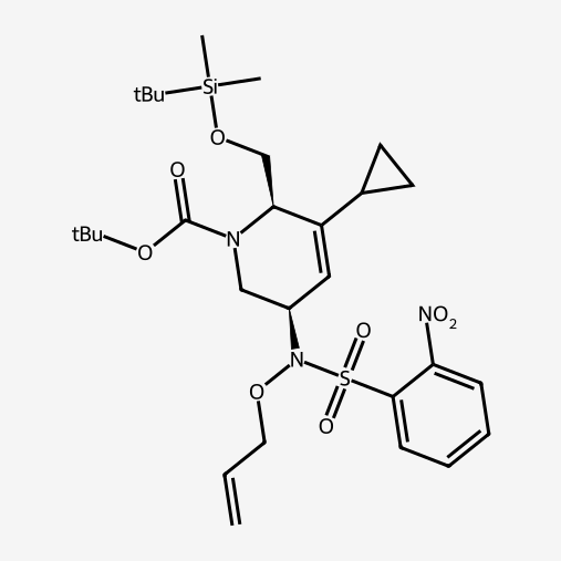 C=CCON([C@@H]1C=C(C2CC2)[C@H](CO[Si](C)(C)C(C)(C)C)N(C(=O)OC(C)(C)C)C1)S(=O)(=O)c1ccccc1[N+](=O)[O-]